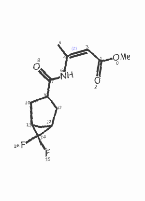 COC(=O)/C=C(/C)NC(=O)C1CC2C(C1)C2(F)F